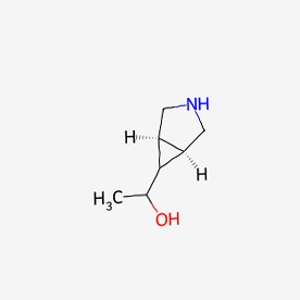 CC(O)C1[C@H]2CNC[C@@H]12